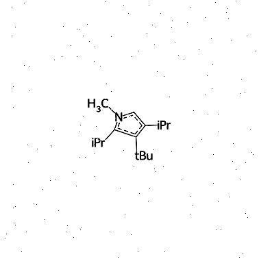 CC(C)c1cn(C)c(C(C)C)c1C(C)(C)C